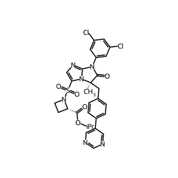 CC(C)OC(=O)[C@@H]1CCN1S(=O)(=O)c1cnc2n1[C@](C)(Cc1ccc(-c3cncnc3)cc1)C(=O)N2c1cc(Cl)cc(Cl)c1